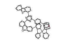 c1ccc(-c2ccc(-c3nc(-c4cccc5c4sc4ccccc45)nc(-c4cccc5oc6ccc(-c7cccc8c7-c7ccccc7C87c8ccccc8-c8ccccc87)cc6c45)n3)cc2)cc1